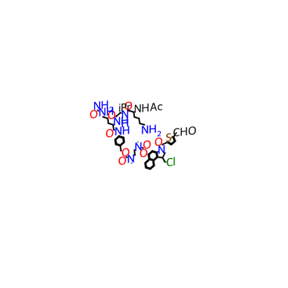 CC(=O)NC(CCCCN)C(=O)NC(C(=O)NC(CCCNC(N)=O)C(=O)Nc1ccc(COC(=O)N(C)CCN(C)C(=O)Oc2cc3c(c4ccccc24)C(CCl)CN3C(=O)c2ccc(C=O)s2)cc1)C(C)C